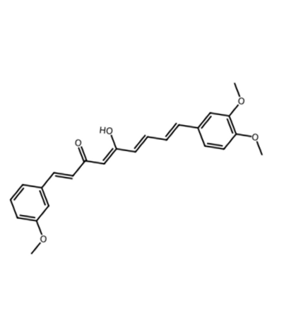 COc1cccc(/C=C/C(=O)/C=C(O)/C=C/C=C/c2ccc(OC)c(OC)c2)c1